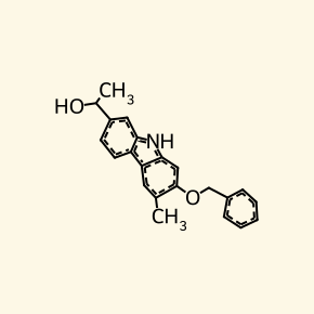 Cc1cc2c(cc1OCc1ccccc1)[nH]c1cc(C(C)O)ccc12